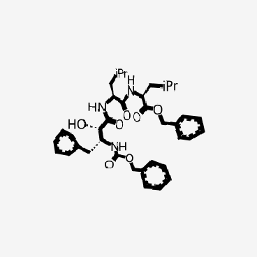 CC(C)C[C@H](NC(=O)[C@@H](O)[C@@H](Cc1ccccc1)NC(=O)OCc1ccccc1)C(=O)N[C@@H](CC(C)C)C(=O)OCc1ccccc1